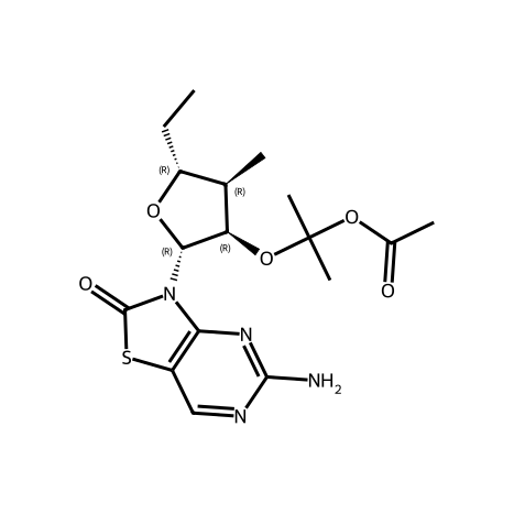 CC[C@H]1O[C@@H](n2c(=O)sc3cnc(N)nc32)[C@H](OC(C)(C)OC(C)=O)[C@@H]1C